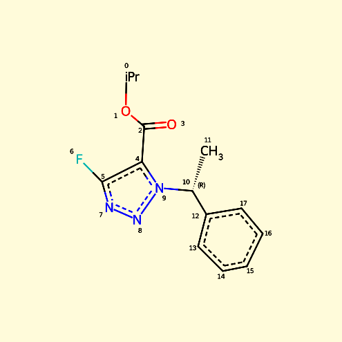 CC(C)OC(=O)c1c(F)nnn1[C@H](C)c1ccccc1